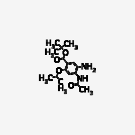 CC(=O)Nc1cc(OC(C)C)c(C(=O)OC(C)(C)C)cc1N